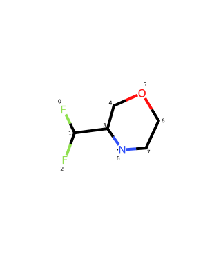 FC(F)C1COCC[N]1